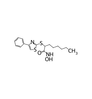 CCCCCCC(Sc1nc(-c2ccccc2)cs1)C(=O)NO